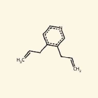 C=CCc1ccncc1CC=C